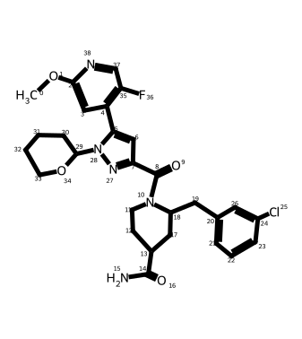 COc1cc(-c2cc(C(=O)N3CCC(C(N)=O)CC3Cc3cccc(Cl)c3)nn2C2CCCCO2)c(F)cn1